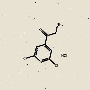 Cl.NCC(=O)c1cc(Cl)nc(Cl)c1